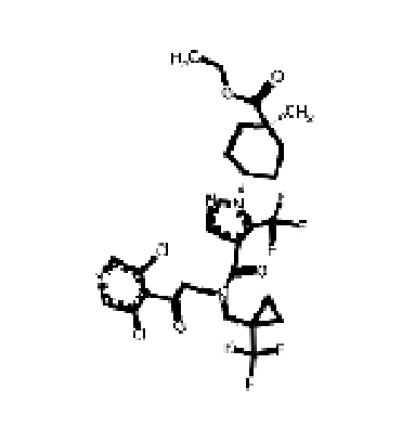 CCOC(=O)[C@]1(C)CC[C@@H](n2ncc(C(=O)N(CC(=O)c3c(Cl)cncc3Cl)CC3(C(F)(F)F)CC3)c2C(F)(F)F)CC1